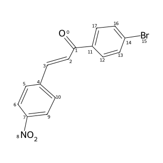 O=C(/C=C/c1ccc([N+](=O)[O-])cc1)c1ccc(Br)cc1